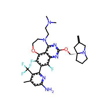 C=C1CN2CCC[C@@]2(COc2nc3c4c(c(F)c(-c5nc(N)cc(C)c5C(F)(F)F)c(F)c4n2)OCCN3CCN(C)C)C1